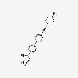 C=CC(CC)c1ccc(-c2ccc(C#C[C@H]3CC[C@H](CC)CC3)cc2)cc1